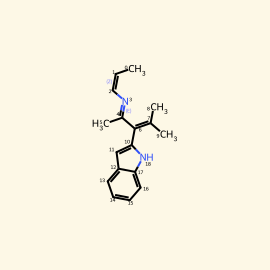 C/C=C\N=C(/C)C(=C(C)C)c1cc2ccccc2[nH]1